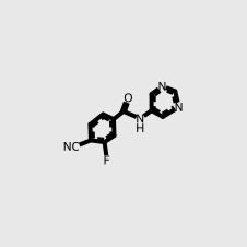 N#Cc1ccc(C(=O)Nc2cncnc2)cc1F